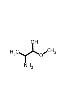 COC(O)C(C)N